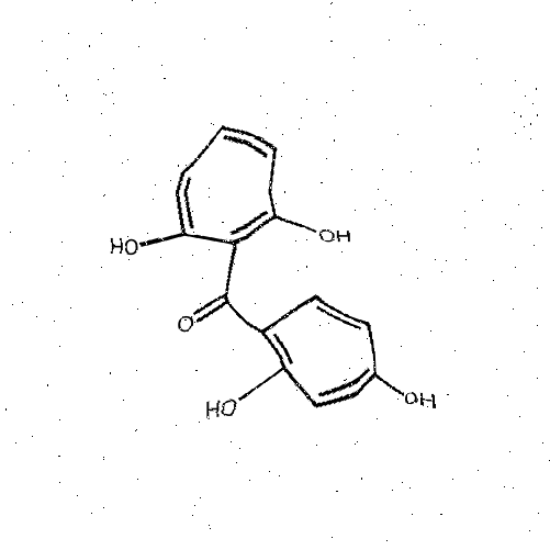 O=C(c1ccc(O)cc1O)c1c(O)cccc1O